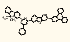 CC1(C)c2ccccc2-c2ccc(-c3nc(-c4ccccc4)nc(-c4ccc5c(c4)oc4cc(-c6ccc7c8ccccc8c8ccccc8c7c6)ccc45)n3)cc21